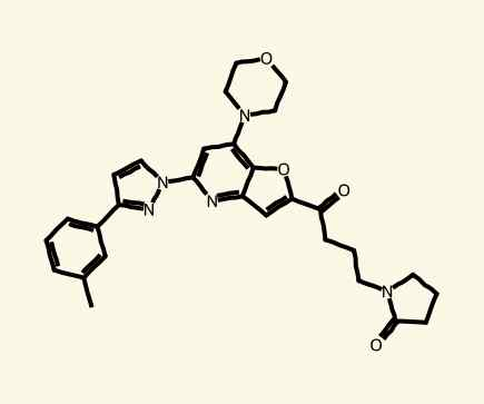 Cc1cccc(-c2ccn(-c3cc(N4CCOCC4)c4oc(C(=O)CCCN5CCCC5=O)cc4n3)n2)c1